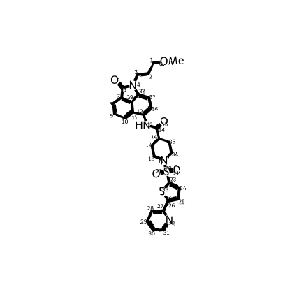 COCCCN1C(=O)c2cccc3c(NC(=O)C4CCN(S(=O)(=O)c5ccc(-c6ccccn6)s5)CC4)ccc1c23